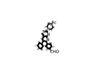 CC(=O)N1CCN(c2ncc3cc(-c4ccccc4)c(-c4ccc(C=O)cc4)nc3n2)CC1